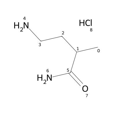 CC(CCN)C(N)=O.Cl